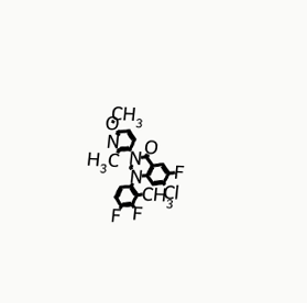 COc1ccc(N2CN(c3ccc(F)c(F)c3C)c3cc(Cl)c(F)cc3C2=O)c(C)n1